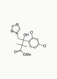 COC(=O)C(C)(C)C(O)(Cn1cncn1)c1ccc(Cl)cc1Cl